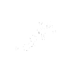 CC(C)C[C@H](NC(=O)c1ccc2c(c1)oc1ccc(Br)cc12)C(=O)NC1(C#N)CC1